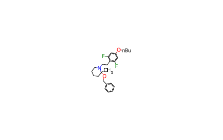 CCCCOc1cc(F)c(CCN2CCCCC2(C)OCc2ccccc2)c(F)c1